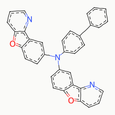 c1ccc(-c2ccc(N(c3ccc4oc5cccnc5c4c3)c3ccc4oc5cccnc5c4c3)cc2)cc1